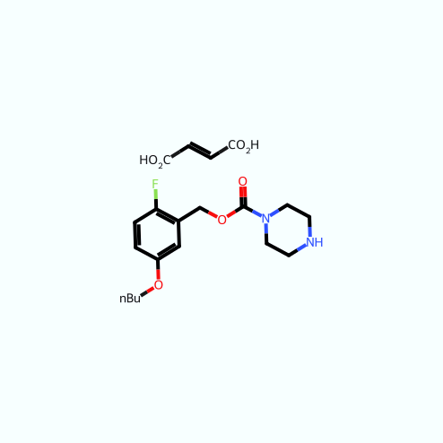 CCCCOc1ccc(F)c(COC(=O)N2CCNCC2)c1.O=C(O)C=CC(=O)O